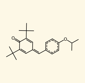 CC(C)Oc1ccc(C=C2C=C(C(C)(C)C)C(=O)C(C(C)(C)C)=C2)cc1